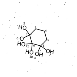 [O]C1(O)CCCC(O)(O)C1(O)O